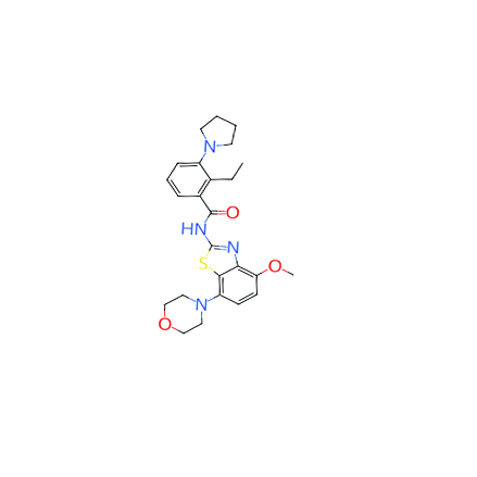 CCc1c(C(=O)Nc2nc3c(OC)ccc(N4CCOCC4)c3s2)cccc1N1CCCC1